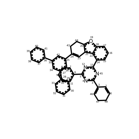 C1=CC(c2nc(-c3ccccc3)nc(-c3cccc4oc5c(c34)C=C(c3cc(-c4ccccc4)cc(-c4ccccc4)c3)CC5)n2)=CCC1